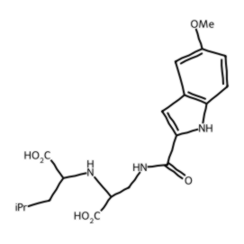 COc1ccc2[nH]c(C(=O)NCC(NC(CC(C)C)C(=O)O)C(=O)O)cc2c1